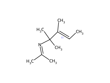 C/C=C(\C)C(C)(C)N=C(C)C